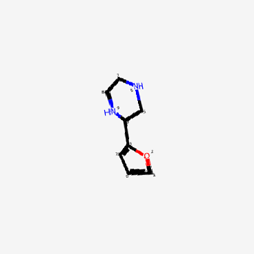 c1coc(C2CNCCN2)c1